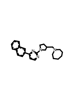 c1ccc2cc(-c3ccnc(N4CCC(CN5CCCCCC5)C4)n3)ccc2c1